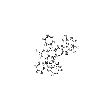 Cc1cc2c3c(c1)N(c1ccccc1)c1cc4c5c(sc4cc1B3C1=C(N2c2ccccc2)C2(C)CCCCC2(C)O1)C(C)(C)CCC5(C)C